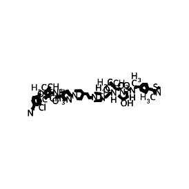 Cc1ncsc1-c1ccc([C@H](C)NC(=O)[C@@H]2C[C@@H](O)CN2C(=O)C(NC(=O)CN2CCN(CCC3CCN(c4ccc(C(=O)NC5C(C)(C)C(Oc6ccc(C#N)c(Cl)c6)C5(C)C)cn4)CC3)CC2)C(C)(C)C)cc1